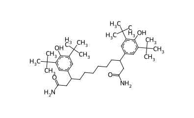 CC(C)(C)c1cc(C(CCCCCCC(CC(N)=O)c2cc(C(C)(C)C)c(O)c(C(C)(C)C)c2)CC(N)=O)cc(C(C)(C)C)c1O